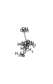 Cc1ncsc1-c1ccc(C(C)NC(=O)[C@@H]2C[C@@H](O)CN2C(=O)C(NC(=O)CCCCCCCCCNC(=O)O)C(C)(C)C)cc1